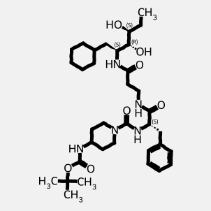 CC[C@H](O)[C@H](O)[C@H](CC1CCCCC1)NC(=O)CCNC(=O)[C@H](Cc1ccccc1)NC(=O)N1CCC(NC(=O)OC(C)(C)C)CC1